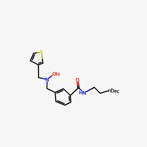 CCCCCCCCCCCCNC(=O)c1cccc(CN(O)Cc2ccsc2)c1